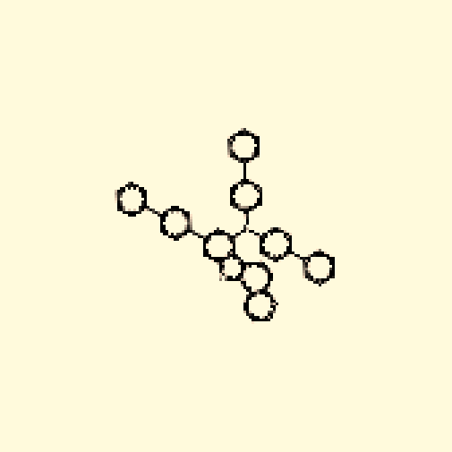 c1ccc(-c2ccc(-c3cc(N(c4ccc(-c5ccccc5)cc4)c4ccc(-c5ccccc5)cc4)c4c(c3)oc3c5ccccc5ccc34)cc2)cc1